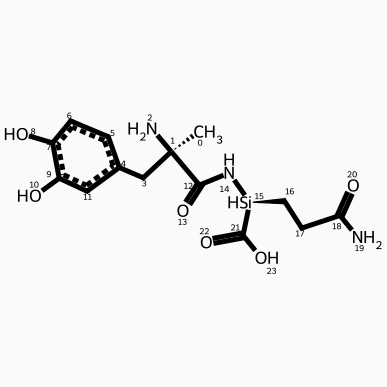 C[C@@](N)(Cc1ccc(O)c(O)c1)C(=O)N[Si@@H](CCC(N)=O)C(=O)O